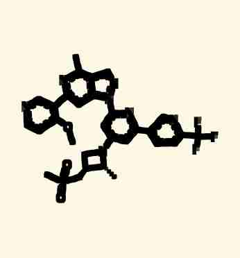 COc1ccncc1-c1cc2c(cnn2-c2cc(N3C[C@H](CS(C)(=O)=O)[C@H]3C)cc(-c3ccc(C(F)(F)F)nc3)n2)c(C)n1